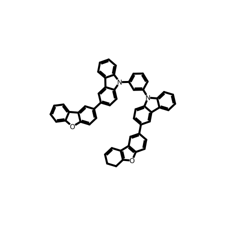 C1=Cc2c(oc3ccc(-c4ccc5c(c4)c4ccccc4n5-c4cccc(-n5c6ccccc6c6cc(-c7ccc8oc9ccccc9c8c7)ccc65)c4)cc23)CC1